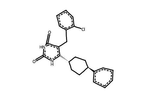 O=c1[nH]c(=O)c(Cc2ccccc2Cl)c([C@H]2CC[C@H](c3ccccc3)CC2)[nH]1